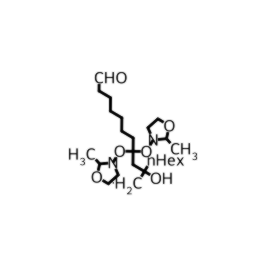 [CH2]C(O)(CCCCCC)CC(CCCCCCC=O)(ON1CCOC1C)ON1CCOC1C